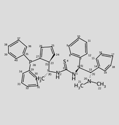 C[C@@H](NC(=S)N[C@@H](c1ccccc1)[C@H](c1ccccc1)N(C)C)[C@@H]1C=CC=C1P(c1ccccc1)c1ccccc1